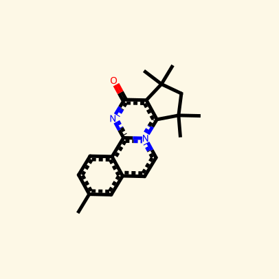 Cc1ccc2c(ccn3c4c(c(=O)nc23)C(C)(C)CC4(C)C)c1